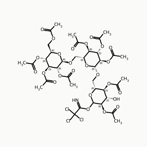 CC(=O)OC[C@H]1O[C@@H](OC[C@H]2O[C@@H](OC[C@H]3OC(OC(=N)C(Cl)(Cl)Cl)[C@H](OC(C)=O)[C@@H](O)[C@@H]3OC(C)=O)[C@H](OC(C)=O)[C@@H](OC(C)=O)[C@@H]2OC(C)=O)[C@H](OC(C)=O)[C@@H](OC(C)=O)[C@@H]1OC(C)=O